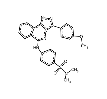 COc1ccc(-c2nnc3c4ccccc4c(Nc4ccc(S(=O)(=O)N(C)C)cc4)nn23)cc1